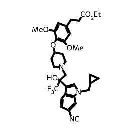 [C-]#[N+]c1ccc2c(C(O)(CN3CCC(Oc4c(OC)cc(CCC(=O)OCC)cc4OC)CC3)C(F)(F)F)cn(CC3CC3)c2c1